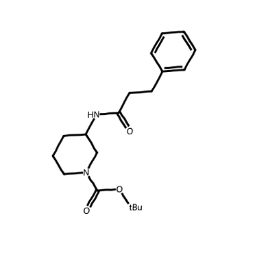 CC(C)(C)OC(=O)N1CCCC(NC(=O)CCc2ccccc2)C1